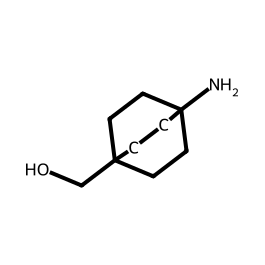 NC12CCC(CO)(CC1)CC2